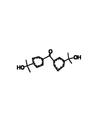 CC(C)(O)c1ccc(C(=O)c2cccc(C(C)(C)O)c2)cc1